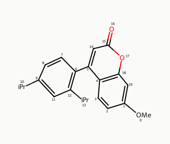 COc1ccc2c(-c3ccc(C(C)C)cc3C(C)C)cc(=O)oc2c1